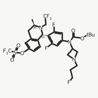 C[C@@H]1Cc2cc(OS(=O)(=O)C(F)(F)F)ccc2[C@@H](c2c(F)cc(N(C(=O)OC(C)(C)C)C3CN(CCCF)C3)cc2F)N1CC(F)(F)F